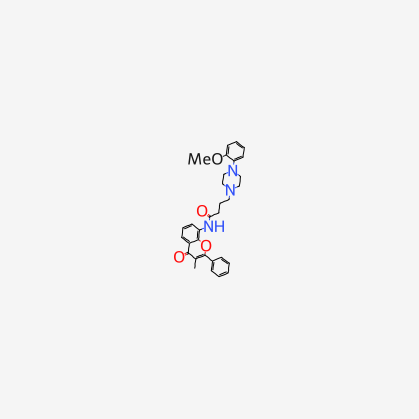 COc1ccccc1N1CCN(CCCC(=O)Nc2cccc3c(=O)c(C)c(-c4ccccc4)oc23)CC1